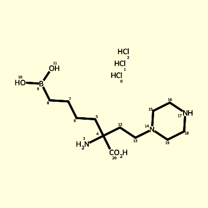 Cl.Cl.Cl.NC(CCCCB(O)O)(CCN1CCNCC1)C(=O)O